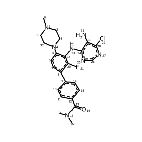 CN1CCN(c2ccc(-c3ccc(C(=O)N(C)C)cc3)c(F)c2Nc2ncnc(Cl)c2N)CC1